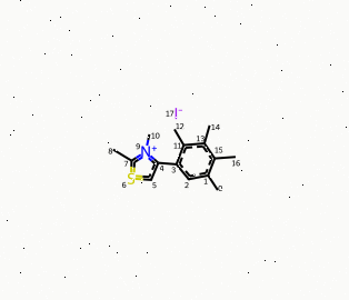 Cc1cc(-c2csc(C)[n+]2C)c(C)c(C)c1C.[I-]